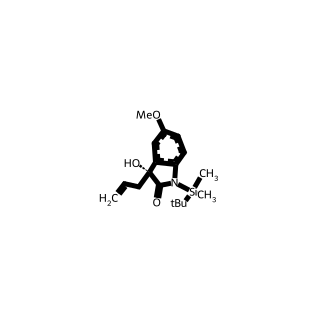 C=CC[C@]1(O)C(=O)N([Si](C)(C)C(C)(C)C)c2ccc(OC)cc21